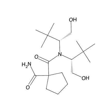 CC(C)(C)[C@H](CO)N(C(=O)C1(C(N)=O)CCCC1)[C@@H](CO)C(C)(C)C